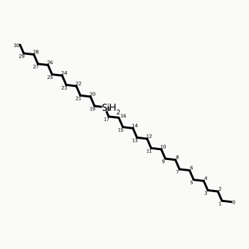 CCCCCCCCCCCCCCCCCC[SiH2]CCCCCCCCCCCC